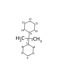 CC(C)([C]1CC[CH]CC1)[C]1CC[CH]CC1